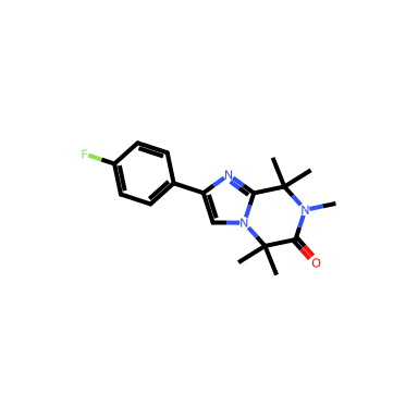 CN1C(=O)C(C)(C)n2cc(-c3ccc(F)cc3)nc2C1(C)C